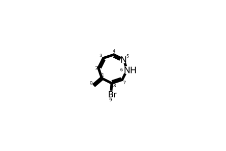 C=C1/C=C\C=N/N/C=C\1Br